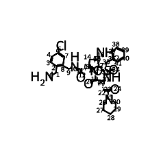 NCc1ccc(Cl)cc1CNC(=O)[C@@H]1C[C@@H](N)CN1C(=O)[C@@H](CC(=O)N1CCCCC1)NS(=O)(=O)Cc1ccccc1